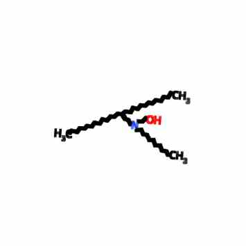 CCCCCCCCCCCCCCC(=CCCN(CCCO)CCCCCCCCCCCC)CCCCCCCCCCCCCC